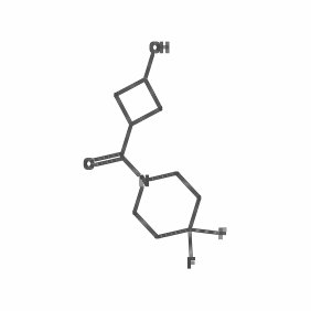 O=C(C1CC(O)C1)N1CCC(F)(F)CC1